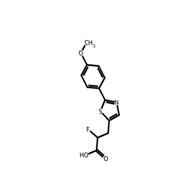 COc1ccc(-c2ncc(CC(F)C(=O)O)s2)cc1